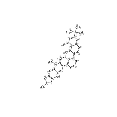 Cc1cc(Nc2cc(-c3ccnc(-n4ncc5cc(C(C)(C)C)cc(F)c5c4=O)c3CO)nn(C)c2=O)no1